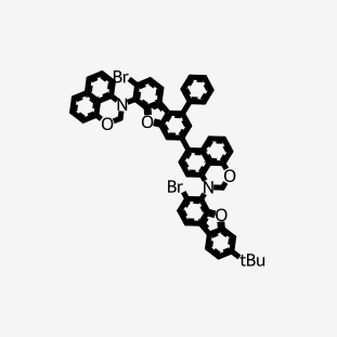 CC(C)(C)c1ccc2c(c1)oc1c(N3COc4cccc5c(-c6cc(-c7ccccc7)c7c(c6)oc6c(N8COc9cccc%10cccc8c9%10)c(Br)ccc67)ccc3c45)c(Br)ccc12